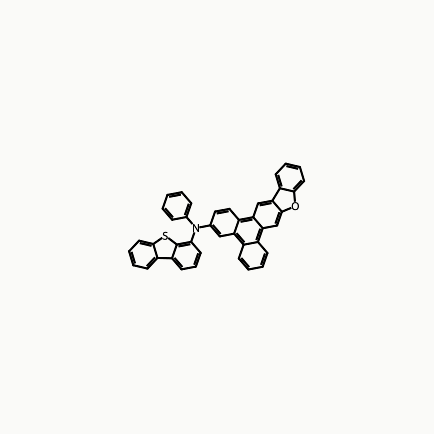 c1ccc(N(c2ccc3c(c2)c2ccccc2c2cc4oc5ccccc5c4cc32)c2cccc3c2sc2ccccc23)cc1